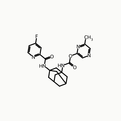 Cc1cncc(OC(=O)NC23CC4CC(C2)CC(NC(=O)c2cc(F)ccn2)(C4)C3)n1